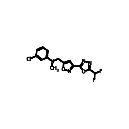 CN(Cc1cc(-c2nnc(C(F)F)o2)no1)c1cccc(Cl)c1